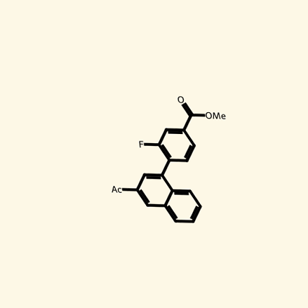 COC(=O)c1ccc(-c2cc(C(C)=O)cc3ccccc23)c(F)c1